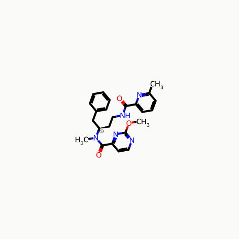 COc1nccc(C(=O)N(C)[C@H](CCNC(=O)c2cccc(C)n2)Cc2ccccc2)n1